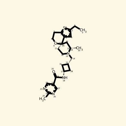 CCc1cc2c(s1)CCO[C@@]21CCN(C[C@H]2C[C@@H](NC(=O)c3cnc(C)nc3)C2)[C@@H](C)C1